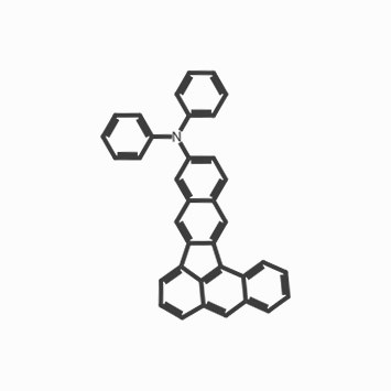 c1ccc(N(c2ccccc2)c2ccc3cc4c(cc3c2)-c2cccc3cc5ccccc5c-4c23)cc1